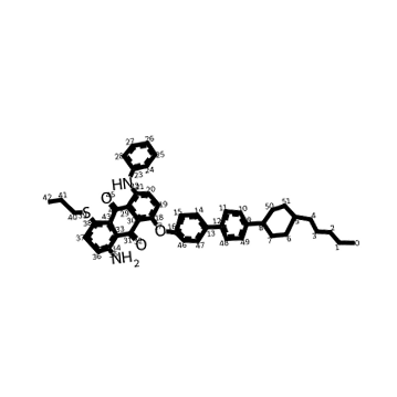 CCCCCC1CCC(c2ccc(-c3ccc(Oc4ccc(Nc5ccccc5)c5c4C(=O)c4c(N)ccc(SCCC)c4C5=O)cc3)cc2)CC1